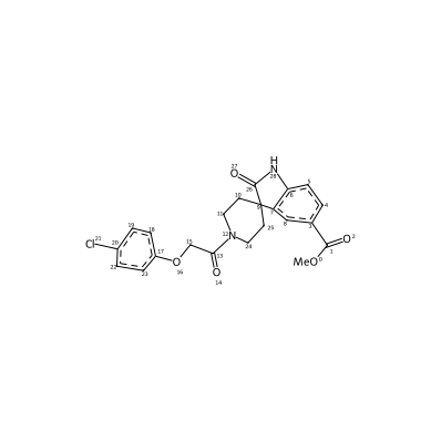 COC(=O)c1ccc2c(c1)C1(CCN(C(=O)COc3ccc(Cl)cc3)CC1)C(=O)N2